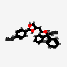 COc1ccc(C2OCC(CCO[Si](c3ccccc3)(c3ccccc3)C(C)(C)C)O2)cc1